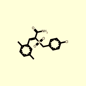 Cc1ccc(C)c(C=C(C(N)=O)S(=O)(=O)Cc2ccc(Cl)cc2)c1